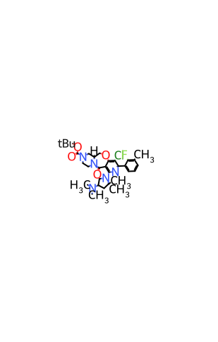 Cc1cccc(-c2nc(N3CC(N(C)C)CC3(C)C)c3c(c2Cl)OC[C@H]2CN(C(=O)OC(C)(C)C)CCN2C3=O)c1F